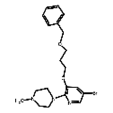 CN1CCN(c2ncc(Br)cc2OCCCOCc2ccccc2)CC1